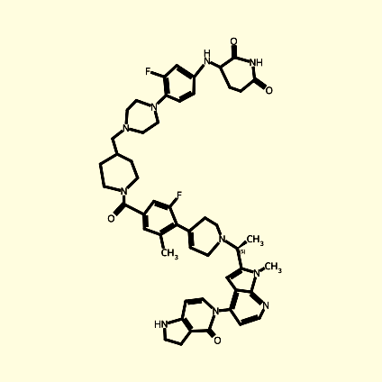 Cc1cc(C(=O)N2CCC(CN3CCN(c4ccc(NC5CCC(=O)NC5=O)cc4F)CC3)CC2)cc(F)c1C1=CCN([C@@H](C)c2cc3c(-n4ccc5c(c4=O)CCN5)ccnc3n2C)CC1